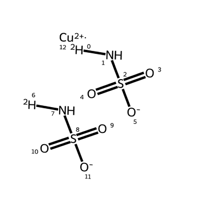 [2H]NS(=O)(=O)[O-].[2H]NS(=O)(=O)[O-].[Cu+2]